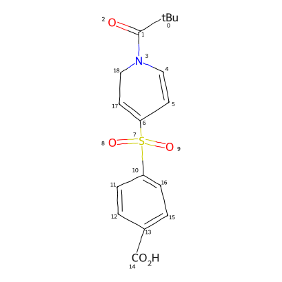 CC(C)(C)C(=O)N1C=CC(S(=O)(=O)c2ccc(C(=O)O)cc2)=CC1